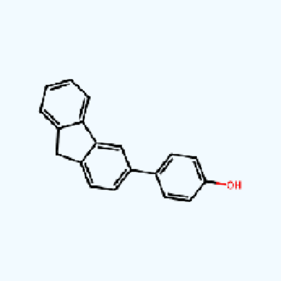 Oc1ccc(-c2ccc3c(c2)-c2ccccc2C3)cc1